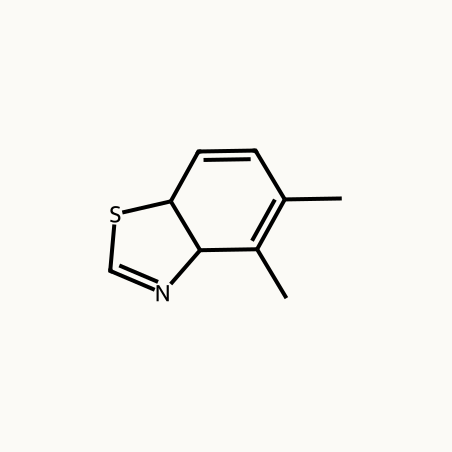 CC1=C(C)C2N=CSC2C=C1